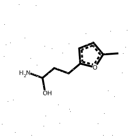 Cc1ccc(CCC(N)O)o1